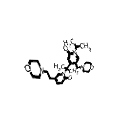 CC(C)n1cc(CN2CCOCC2)c(C(C)(C)n2cc(CCN3CCOCC3)ccc2=O)cc1=O